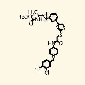 CC(CNc1cccc(-c2csc(SCC(=O)NC3CCN(Cc4ccc(Cl)c(Cl)c4)CC3)n2)c1)NC(=O)OC(C)(C)C